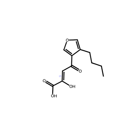 CCCCc1cocc1C(=O)/C=C(\O)C(=O)O